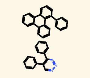 c1ccc(-c2cccc3c4ccccc4c4ccccc4c23)cc1.c1ccc(-c2cnnnc2-c2ccccc2)cc1